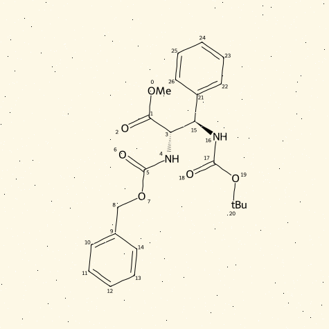 COC(=O)[C@@H](NC(=O)OCc1ccccc1)[C@H](NC(=O)OC(C)(C)C)c1ccccc1